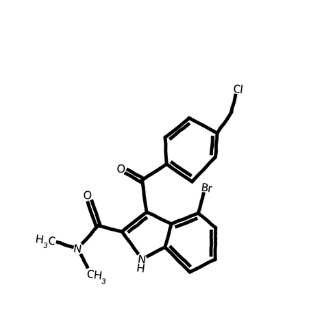 CN(C)C(=O)c1[nH]c2cccc(Br)c2c1C(=O)c1ccc(CCl)cc1